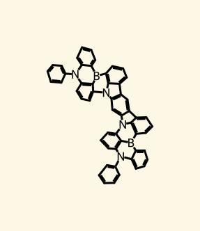 c1ccc(N2c3ccccc3B3c4c2cccc4-n2c4cc5c(cc4c4cccc3c42)c2cccc3c2n5-c2cccc4c2B3c2ccccc2N4c2ccccc2)cc1